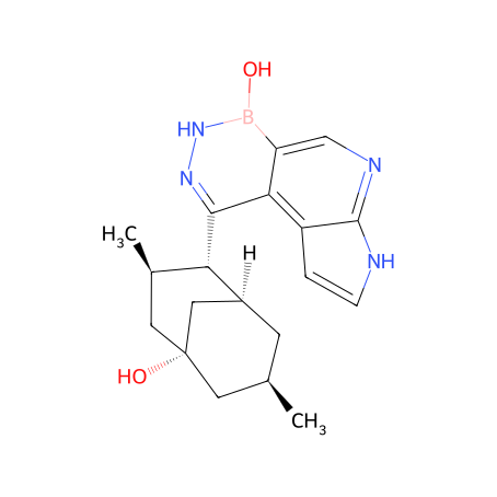 C[C@@H]1C[C@H]2C[C@@](O)(C1)C[C@@H](C)[C@@H]2C1=NNB(O)c2cnc3[nH]ccc3c21